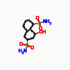 NS(=O)(=O)c1cc(O)c2c(S(N)(=O)=O)cccc2c1